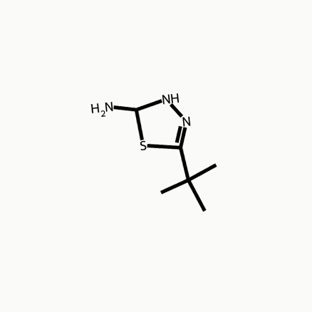 CC(C)(C)C1=NNC(N)S1